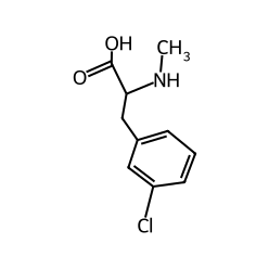 CNC(Cc1cccc(Cl)c1)C(=O)O